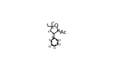 CC(=O)[C@H]1OC(C)(C)CC1c1ccccc1